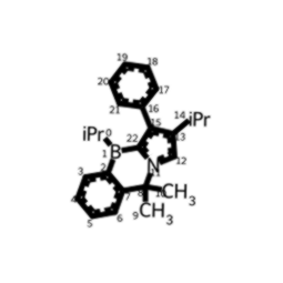 CC(C)B1c2ccccc2C(C)(C)n2cc(C(C)C)c(-c3ccccc3)c21